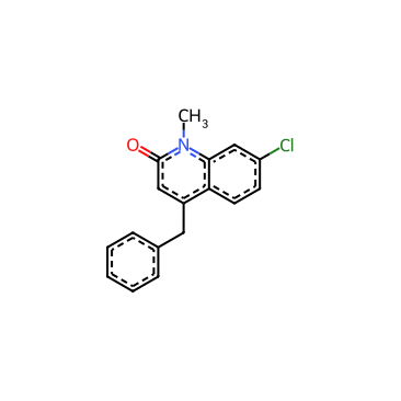 Cn1c(=O)cc(Cc2ccccc2)c2ccc(Cl)cc21